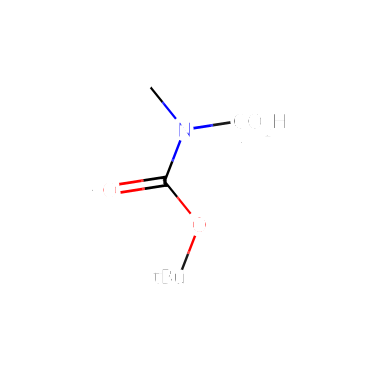 CN(C(=O)O)C(=O)OC(C)(C)C